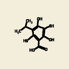 CC(C)c1c(O)c(S)c(O)c(C(=O)O)c1S